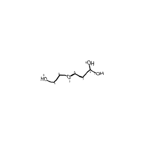 OCCOCCC(O)O